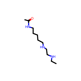 CCNCCNCCCCCNC(C)=O